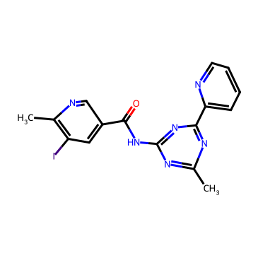 Cc1nc(NC(=O)c2cnc(C)c(I)c2)nc(-c2ccccn2)n1